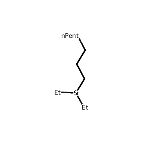 CCCCCCCC[Si](CC)CC